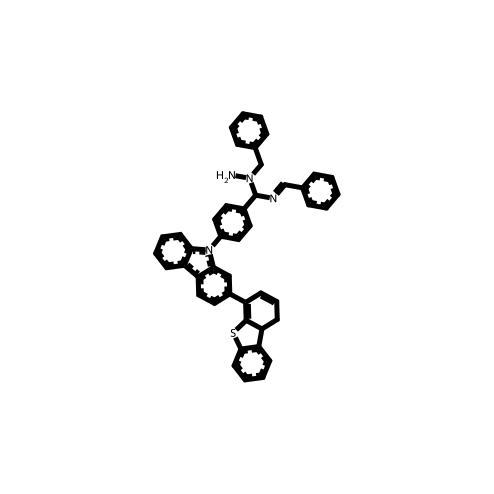 NN(Cc1ccccc1)C(/N=C/c1ccccc1)c1ccc(-n2c3ccccc3c3ccc(C4=C5Sc6ccccc6C5CC=C4)cc32)cc1